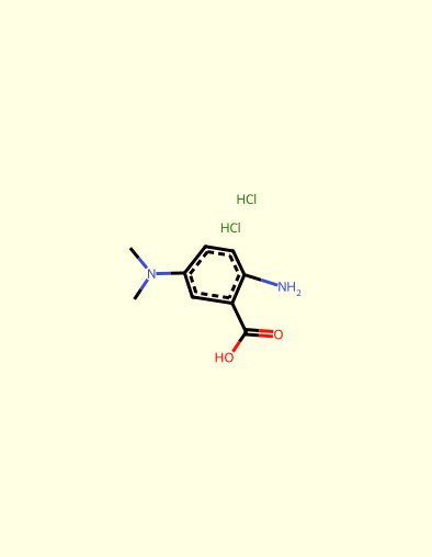 CN(C)c1ccc(N)c(C(=O)O)c1.Cl.Cl